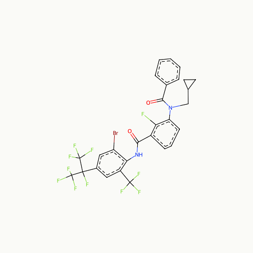 O=C(Nc1c(Br)cc(C(F)(C(F)(F)F)C(F)(F)F)cc1C(F)(F)F)c1cccc(N(CC2CC2)C(=O)c2ccccc2)c1F